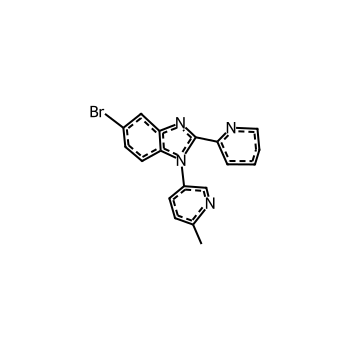 Cc1ccc(-n2c(-c3ccccn3)nc3cc(Br)ccc32)cn1